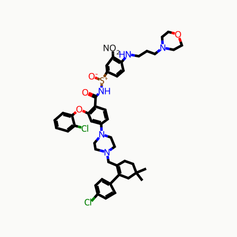 CC1(C)CCC(CN2CCN(c3ccc(C(=O)N[S+]([O-])c4ccc(NCCCN5CCOCC5)c([N+](=O)[O-])c4)c(Oc4ccccc4Cl)c3)CC2)=C(c2ccc(Cl)cc2)C1